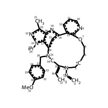 C=NN1CCCCOc2ncccc2-c2cc(c3c(n2)c(C)nn3C(C)C)N(Cc2ccc(OC)cc2)C/C1=C/C